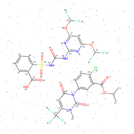 CC(C)OC(=O)c1cc(-n2c(=O)cc(C(F)(F)F)n(C)c2=O)ccc1Cl.O=C(Nc1nc(OC(F)F)cc(OC(F)F)n1)NS(=O)(=O)c1ccccc1C(=O)O